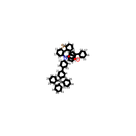 c1ccc(-c2cccc3sc4cccc(N(c5ccc(-c6ccc([Si](c7ccccc7)(c7ccccc7)c7ccccc7)cc6)cc5)c5ccc6c(c5)oc5ccccc56)c4c23)cc1